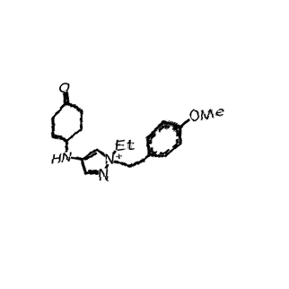 CC[N+]1(Cc2ccc(OC)cc2)C=C(NC2CCC(=O)CC2)C=N1